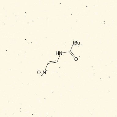 CC(C)(C)C(=O)N/C=C/[N+](=O)[O-]